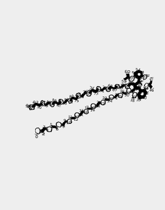 COCCOCCOCCOCCOCCOCCOCCOCCOCCOCCOCc1c(-c2c(OC)cccc2OC(C)C)sc(-c2c(OC)cccc2OC(C)C)c1COCCOCCOCCOCCOCCOCCOCCOCCOCCOCCOC